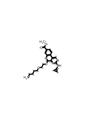 COC(=O)c1ccc2c(c1)nc(OCCOCCCCN)c1nc(NC3CC3)ncc12